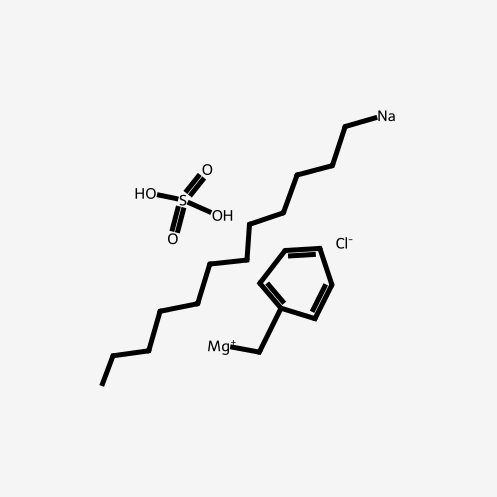 CCCCCCCCCCC[CH2][Na].O=S(=O)(O)O.[Cl-].[Mg+][CH2]c1ccccc1